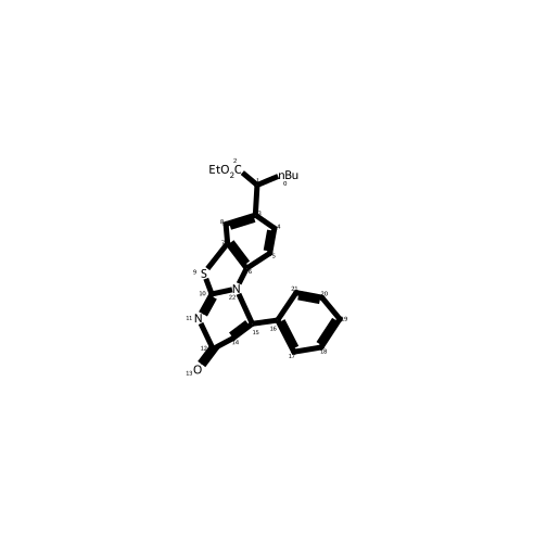 CCCCC(C(=O)OCC)c1ccc2c(c1)sc1nc(=O)cc(-c3ccccc3)n12